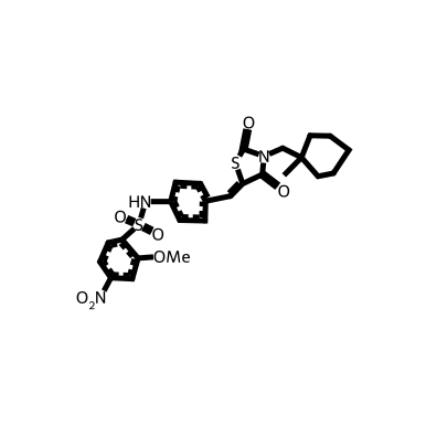 COc1cc([N+](=O)[O-])ccc1S(=O)(=O)Nc1ccc(/C=C2\SC(=O)N(CC3(C)CCCCC3)C2=O)cc1